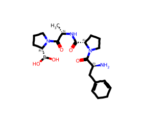 C[C@H](NC(=O)[C@@H]1CCCN1C(=O)[C@@H](N)CC1=CCCC=C1)C(=O)N1CCC[C@H]1B(O)O